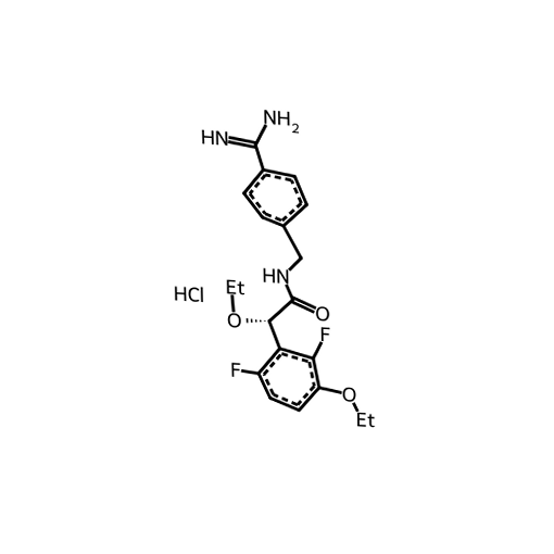 CCOc1ccc(F)c([C@H](OCC)C(=O)NCc2ccc(C(=N)N)cc2)c1F.Cl